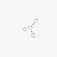 Cc1cc(Sc2cc(C#Cc3ccc(Cl)cc3)nc(C#Cc3ccc(Cl)cc3)c2)ccc1[O]